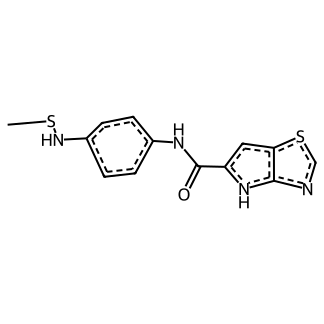 CSNc1ccc(NC(=O)c2cc3scnc3[nH]2)cc1